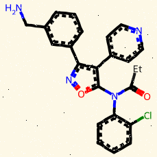 CCC(=O)N(c1ccccc1Cl)c1onc(-c2cccc(CN)c2)c1-c1ccncc1